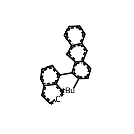 CC(C)(C)c1ccc2cc3ccccc3cc2c1-c1cccc2ccccc12